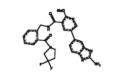 COc1ncc(-c2ccn3nc(N)nc3c2)cc1C(=O)NCc1ccccc1C(=O)N1CCC(F)(F)C1